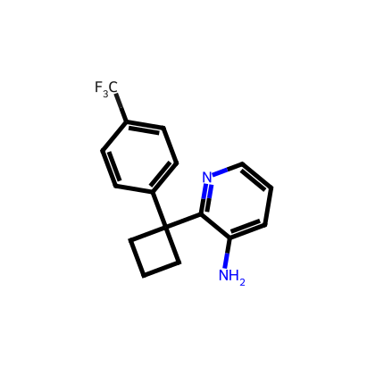 Nc1cccnc1C1(c2ccc(C(F)(F)F)cc2)CCC1